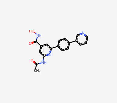 CC(=O)Nc1cc(C(=O)NO)cc(-c2ccc(-c3cccnc3)cc2)n1